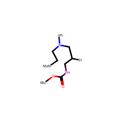 CCCN(CCNC)CC(CC)CPC(=O)OC(C)(C)C